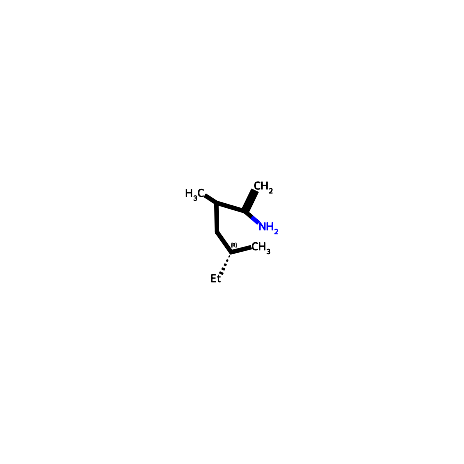 C=C(N)C(C)C[C@H](C)CC